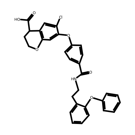 O=C(NCCc1ccccc1Oc1ccccc1)c1ccc(Oc2cc3c(cc2Cl)C(C(=O)O)CCO3)cc1